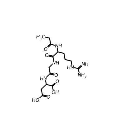 CCC(=O)NC(CCCNC(=N)N)C(=O)NCC(=O)NC(CC(=O)O)C(=O)O